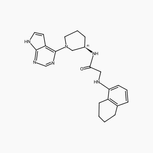 O=C(CNc1cccc2c1CCCC2)N[C@@H]1CCCN(c2ncnc3[nH]ccc23)C1